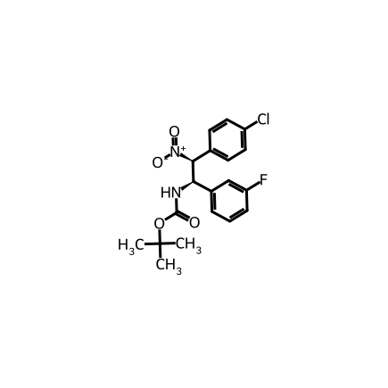 CC(C)(C)OC(=O)N[C@H](c1cccc(F)c1)[C@H](c1ccc(Cl)cc1)[N+](=O)[O-]